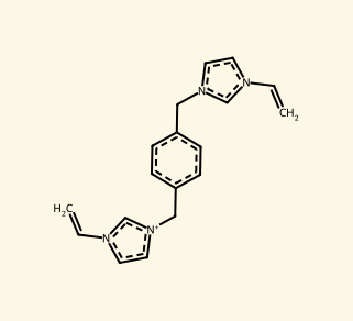 C=Cn1cc[n+](Cc2ccc(C[n+]3ccn(C=C)c3)cc2)c1